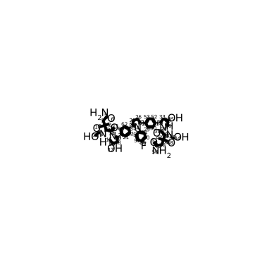 CC(C)(CC(N)=O)[C@H](NC(=O)O)C(=O)N1C[C@@H](O)C[C@H]1c1ccc([C@@H]2CC[C@@H](c3ccc([C@@H]4C[C@H](O)CN4C(=O)[C@@H](NC(=O)O)C(C)(C)CC(N)=O)cc3)N2c2ccc(F)cc2)cc1